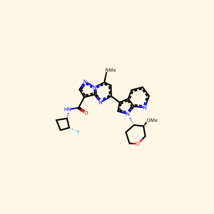 CNc1cc(-c2cn([C@H]3CCOC[C@@H]3OC)c3ncccc23)nc2c(C(=O)N[C@H]3CC[C@H]3F)cnn12